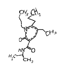 CCCCn1c(CCC)c(CC)cc(C(=O)NC(C)C)c1=O